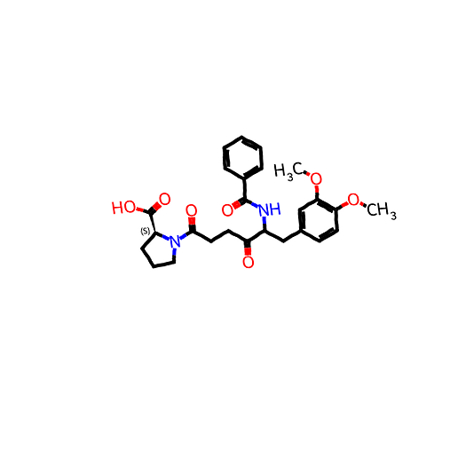 COc1ccc(CC(NC(=O)c2ccccc2)C(=O)CCC(=O)N2CCC[C@H]2C(=O)O)cc1OC